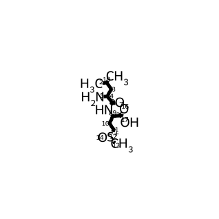 CC(C)CC(N)C(=O)NC(CC[S+](C)[O-])C(=O)O